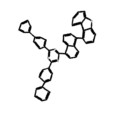 c1ccc(-c2ccc(-c3nc(-c4ccc(-c5ccccc5)cc4)nc(-c4cccc5c(-c6cccc7oc8ccccc8c67)cccc45)n3)cc2)cc1